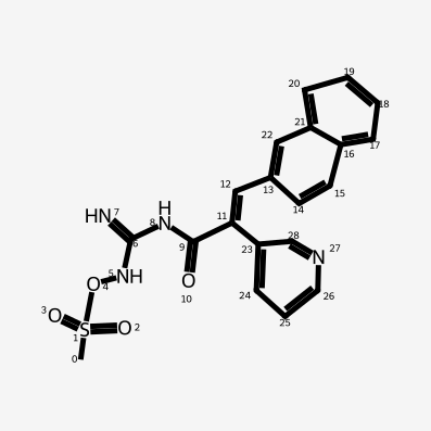 CS(=O)(=O)ONC(=N)NC(=O)/C(=C/c1ccc2ccccc2c1)c1cccnc1